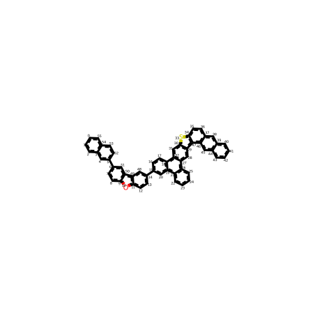 c1ccc2cc(-c3ccc4oc5ccc(-c6ccc7c(c6)c6ccccc6c6cc8c(cc76)sc6ccc7cc9ccccc9cc7c68)cc5c4c3)ccc2c1